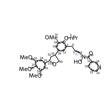 CCCOc1c(C/C=C/N(O)C(=O)c2cccnc2)cc(C2COC(c3cc(OC)c(OC)c(OC)c3)C2)cc1OC